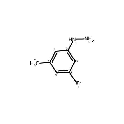 Cc1cc(NN)cc(C(C)C)c1